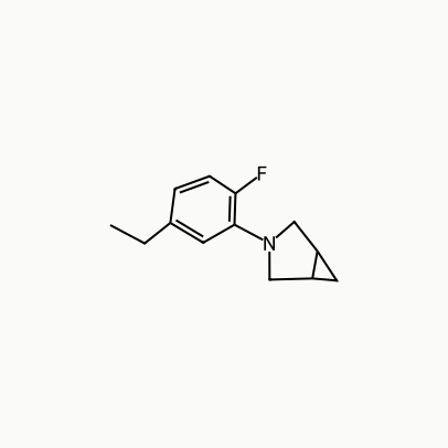 CCc1ccc(F)c(N2CC3CC3C2)c1